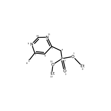 CCOP(=O)(Cc1cc(I)ncn1)OCC